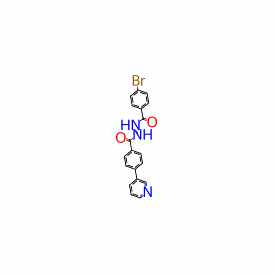 O=C(NNC(=O)c1ccc(-c2cccnc2)cc1)c1ccc(Br)cc1